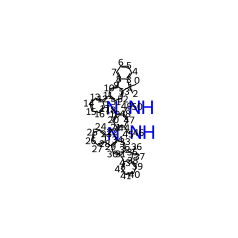 CC1(C)c2ccccc2-c2cc3c4ccccc4n(-c4cc(-n5c6ccccc6c6cc7c(cc65)C(C)(C)c5ccccc5-7)c(C=N)cc4C=N)c3cc21